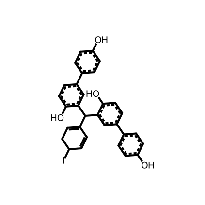 Oc1ccc(-c2ccc(O)c(C(C3=CCC(I)C=C3)c3cc(-c4ccc(O)cc4)ccc3O)c2)cc1